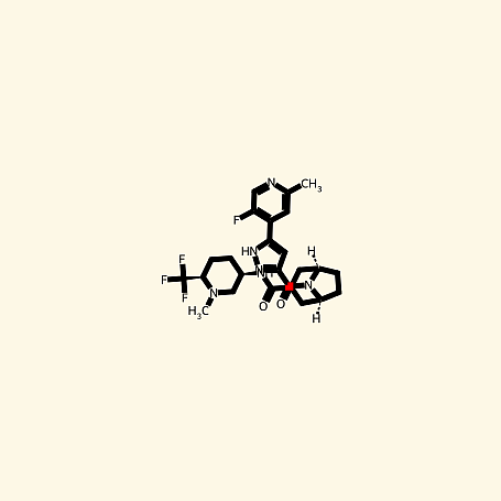 Cc1cc(-c2cc(C(=O)N3[C@@H]4CC[C@H]3CC(C(=O)N[C@@H]3CC[C@H](C(F)(F)F)N(C)C3)C4)n[nH]2)c(F)cn1